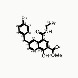 COC(=O)c1cc(C(=O)NCC(C)C)c2cc(Cc3ccc(F)cc3)cnc2c1O